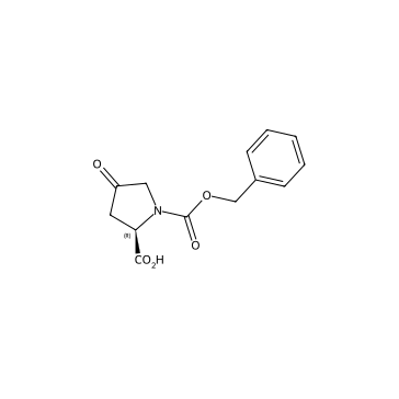 O=C1C[C@H](C(=O)O)N(C(=O)OCc2ccccc2)C1